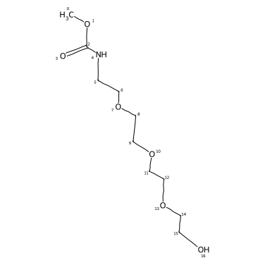 COC(=O)NCCOCCOCCOCCO